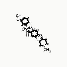 COc1cccc(S(=O)(=O)Nc2ccc(SC3CCN(C)CC3)cc2)c1